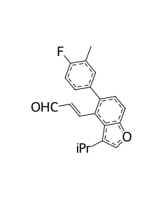 Cc1cc(-c2ccc3occ(C(C)C)c3c2C=CC=O)ccc1F